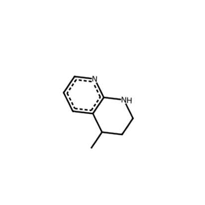 CC1CCNc2ncccc21